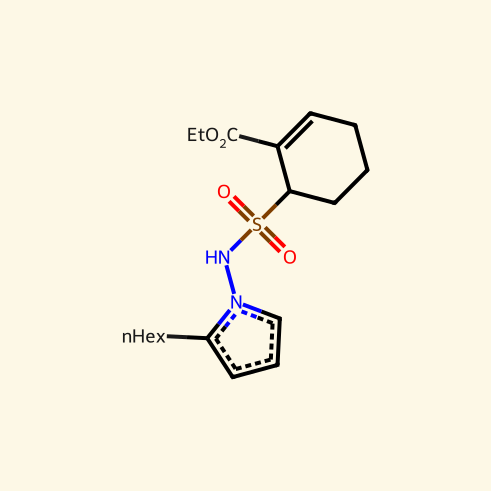 CCCCCCc1cccn1NS(=O)(=O)C1CCCC=C1C(=O)OCC